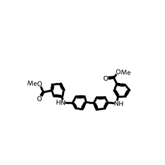 COC(=O)c1cccc(Nc2ccc(-c3ccc(Nc4cccc(C(=O)OC)c4)cc3)cc2)c1